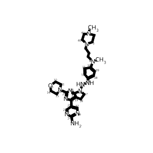 CN1CCN(CCCN(C)c2ccc(NNN3CCc4c(-c5cnc(N)nc5)nc(N5CCOCC5)nc43)cc2)CC1